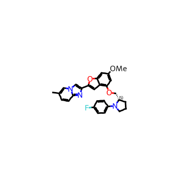 COc1cc(OC[C@@H]2CCCN2c2ccc(F)cc2)c2cc(-c3cn4cc(C)ccc4n3)oc2c1